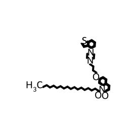 CCCCCCCCCCCCCCCCCC(=O)n1c(=O)ccc2ccc(OCCCCN3CCN(c4cccc5sccc45)CC3)cc21